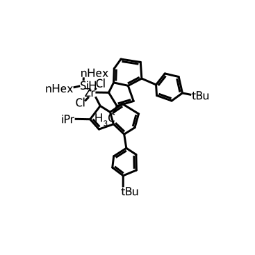 CCCCCC[SiH](CCCCCC)[Zr]([Cl])([Cl])([CH]1C(C)=Cc2c(-c3ccc(C(C)(C)C)cc3)cccc21)[CH]1C(C(C)C)=Cc2c(-c3ccc(C(C)(C)C)cc3)cccc21